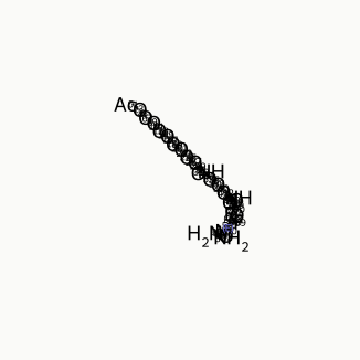 CC(=O)CCOCCOCCOCCOCCOCCOCCOCCOCCOCCC(=O)NCCOCCOCCOCCNS(=O)(=O)c1ccc(Oc2c(F)cc(/C=C(\C)C(=O)N=C(N)N)cc2F)cc1